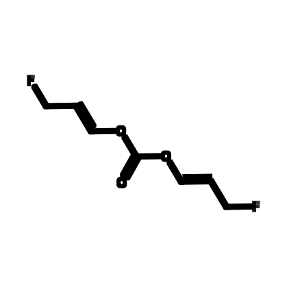 O=C(OC=CCF)OC=CCF